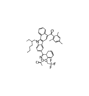 CCCCC(CC)Cn1c2ccc(/C(=N/OC(C)=O)C3CC=CC=C3OCC(F)(F)F)cc2c2cc(C(=O)c3c(C)cc(C)cc3C)c3ccccc3c21